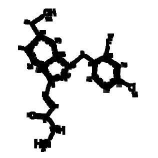 NNC(=O)/C=C/c1nn(Cc2ccc(Cl)cc2F)c2cc(CO)ccc12